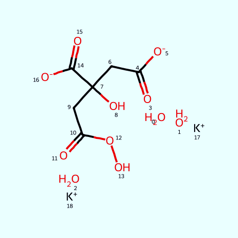 O.O.O.O=C([O-])CC(O)(CC(=O)OO)C(=O)[O-].[K+].[K+]